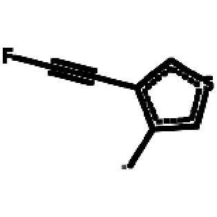 [CH2]c1cscc1C#CF